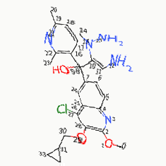 COc1nc2ccc(C(O)(/C(=C/N)N(C)N)c3ccc(C)nc3C)cc2c(Cl)c1OCC1CC1